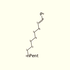 CCCCCCCCCCC/C=C/[P]